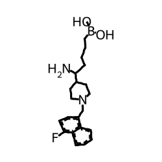 NC(CCCCB(O)O)C1CCN(Cc2ccc(F)c3ccccc23)CC1